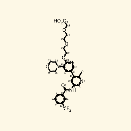 Cc1ncc(NC(=O)c2cccc(C(F)(F)F)c2)cc1-c1cnc(OCCOCCOCC(=O)O)c(N2CCOCC2)c1